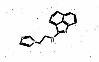 c1cc2c3c(cccc3c1)C(NCCn1ccnc1)=N2